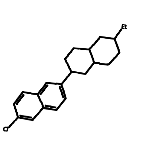 CCC1CCC2CC(c3ccc4cc(Cl)ccc4c3)CCC2C1